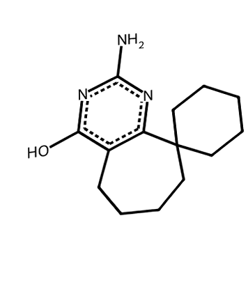 Nc1nc(O)c2c(n1)C1(CCCCC1)CCCC2